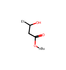 CCCCOC(=O)CC(O)CC